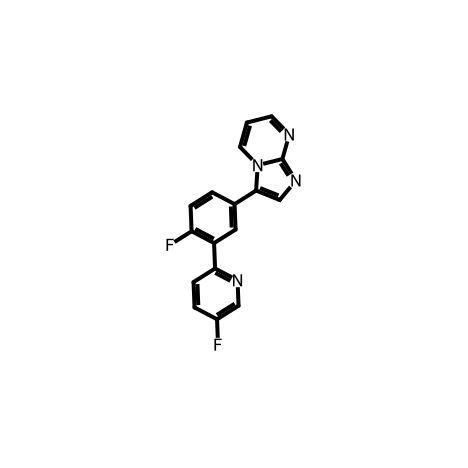 Fc1ccc(-c2cc(-c3cnc4ncccn34)ccc2F)nc1